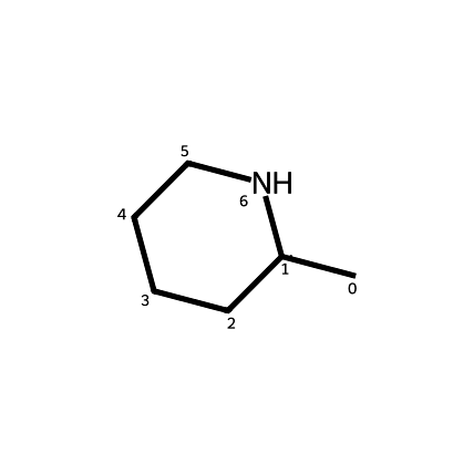 C[C]1CCCCN1